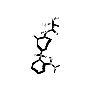 CCN(c1ccccc1S(=O)(=O)c1ccc(NC(=O)[C@@](C)(O)C(F)(F)F)c(Cl)c1)N(C)C